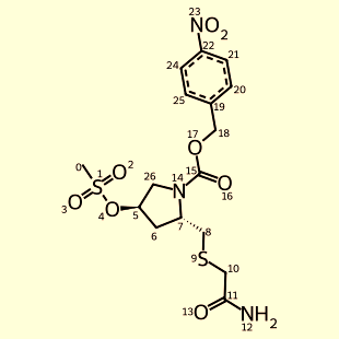 CS(=O)(=O)O[C@@H]1C[C@@H](CSCC(N)=O)N(C(=O)OCc2ccc([N+](=O)[O-])cc2)C1